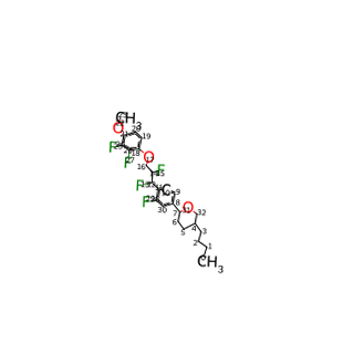 CCCCC1CCC(c2ccc(C(F)C(F)COc3ccc(OC)c(F)c3F)c(F)c2)OC1